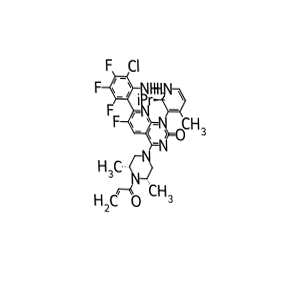 C=CC(=O)N1[C@H](C)CN(c2nc(=O)n(C3=C(C)C=CN[C@@H]3C(C)C)c3nc(-c4c(N)c(Cl)c(F)c(F)c4F)c(F)cc23)C[C@@H]1C